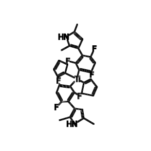 Cc1cc(-c2c(F)cc(F)[c]([Ti]([C]3=CC=CC3)([C]3=CC=CC3)[c]3c(F)cc(F)c(-c4cc(C)[nH]c4C)c3F)c2F)c(C)[nH]1